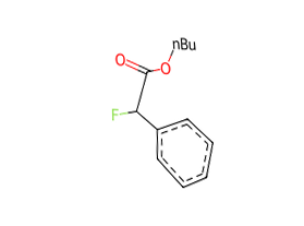 CCCCOC(=O)C(F)c1ccccc1